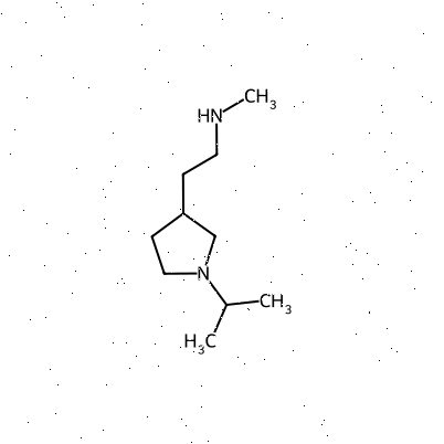 CNCCC1CCN(C(C)C)C1